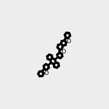 c1ccc2c(c1)oc1cc(-c3c4ccccc4c(-c4ccc5oc6c7cc8oc9ccccc9c8cc7ccc6c5c4)c4ccccc34)ccc12